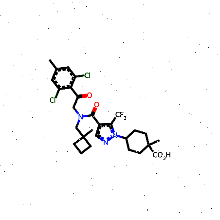 Cc1cc(Cl)c(C(=O)CN(CC2(C)CCC2)C(=O)c2cnn(C3CCC(C)(C(=O)O)CC3)c2C(F)(F)F)c(Cl)c1